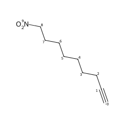 [C]#CCCCCCCC[N+](=O)[O-]